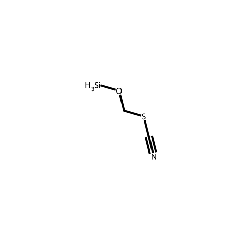 N#CSCO[SiH3]